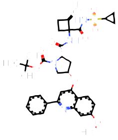 C=C1CCC1(NC(=O)[C@@H]1C[C@@H](Oc2cc(-c3ccccc3)nc3cc(OC)ccc23)CN1C(=O)OC(C)(C)C)C(=O)NS(=O)(=O)C1CC1